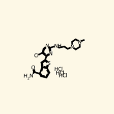 CN1CCN(CCCNc2ncc(Cl)c(-c3cc4c(C(N)=O)cccc4s3)n2)CC1.Cl.Cl.Cl